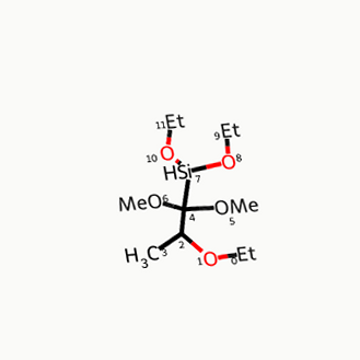 CCOC(C)C(OC)(OC)[SiH](OCC)OCC